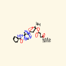 [2H]C[C@H]1O[C@@H](n2ncc3c(NC(=O)c4ccccc4)ncnc32)CC1OC(=O)CCC(=O)NC